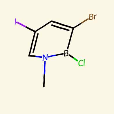 CN1C=C(I)C=C(Br)B1Cl